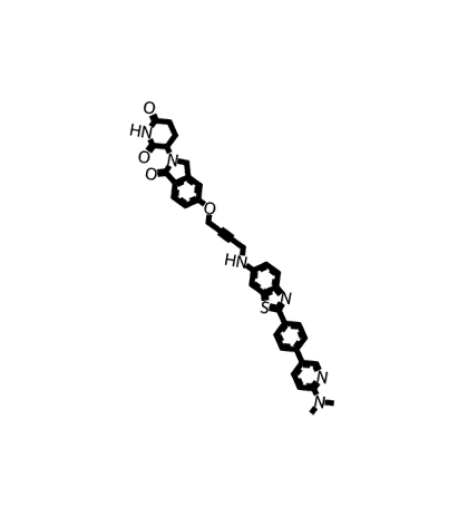 CN(C)c1ccc(-c2ccc(-c3nc4ccc(NCC#CCOc5ccc6c(c5)CN(C5CCC(=O)NC5=O)C6=O)cc4s3)cc2)cn1